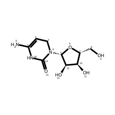 NC1=CCN([C@@H]2O[C@H](CO)[C@@H](O)[C@H]2O)C(=O)N1